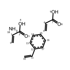 C=CC(=O)O.C=CC(=O)O.C=Cc1ccccc1.N